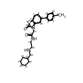 Cc1ccc(-c2ccc3oc(=O)n(CC(=O)NCCNCC4CCCCC4)c3c2)cc1